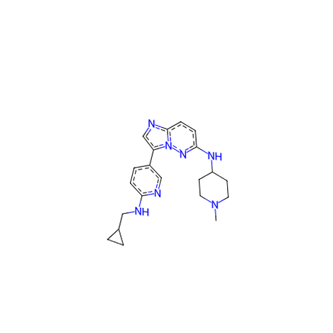 CN1CCC(Nc2ccc3ncc(-c4ccc(NCC5CC5)nc4)n3n2)CC1